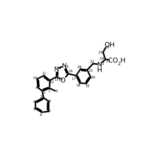 Cc1c(-c2ccccc2)cccc1-c1nnc(-c2cccc(CNC(CO)C(=O)O)c2)o1